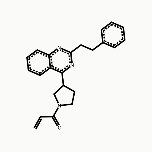 C=CC(=O)N1CCC(c2nc(CCc3ccccc3)nc3ccccc23)C1